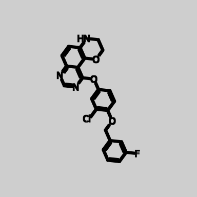 Fc1cccc(COc2ccc(Oc3ncnc4ccc5c(c34)OCCN5)cc2Cl)c1